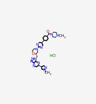 CN1CCN(C(=O)c2ccc(-c3cnc(N4CCO[C@H](Cn5nnc6ncc(-c7cnn(C)c7)nc65)C4)nc3)cc2)CC1.Cl